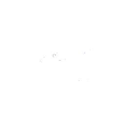 CCCCCCCC/C=C\CCCCCCCC(=O)OC[C@H](COP(=O)(O)OCCN1CCNCC1)OC(=O)CCCCCCC/C=C\CCCCCCCC